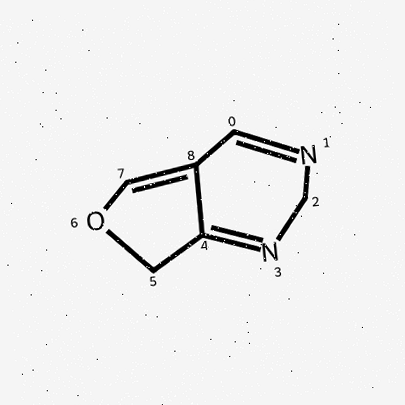 C1=NCN=C2COC=C12